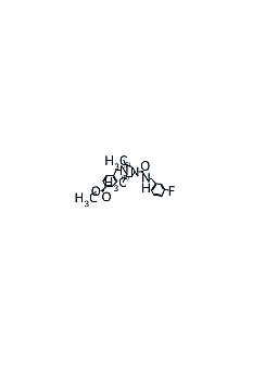 COC(=O)c1ccc(CN2[C@H](C)CN(C(=O)NCc3cccc(F)c3)C[C@@H]2C)cc1